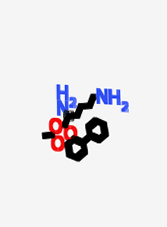 CC(=O)OC(=O)[C@@H](N)CCCCN.c1ccc(-c2ccccc2)cc1